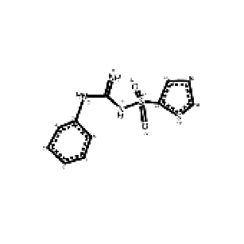 N=C(Nc1ccccc1)NS(=O)(=O)c1cccs1